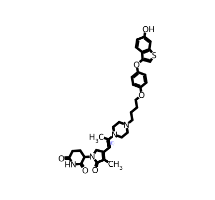 CC1=C(/C=C(\C)N2CCN(CCCCOc3ccc(Oc4csc5cc(O)ccc45)cc3)CC2)CN(C2CCC(=O)NC2=O)C1=O